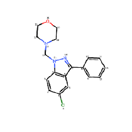 Clc1ccc2c(c1)c(-c1ccccc1)nn2CN1CCOCC1